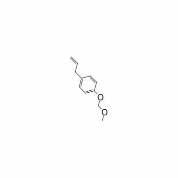 C=CCc1ccc(OCOC)cc1